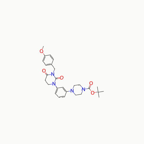 COc1ccc(CN2C(=O)CCN(c3cccc(N4CCN(C(=O)OC(C)(C)C)CC4)c3)C2=O)cc1